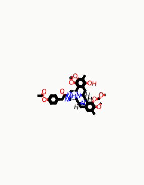 COCOc1c(OC)c(C)cc2c1[C@@H]1[C@@H]3Cc4c(O)c(C)c5c(c4[C@H](CNC(=O)Cc4ccc(OC(C)=O)cc4)N3[C@@H](C#N)[C@H](C2)N1C)OCO5